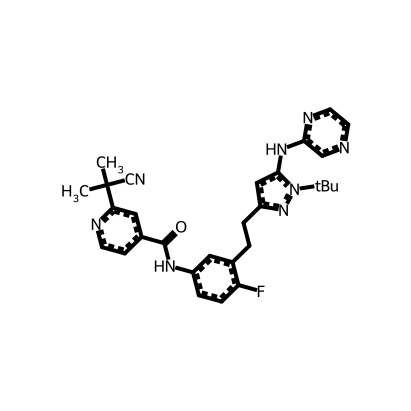 CC(C)(C#N)c1cc(C(=O)Nc2ccc(F)c(CCc3cc(Nc4cnccn4)n(C(C)(C)C)n3)c2)ccn1